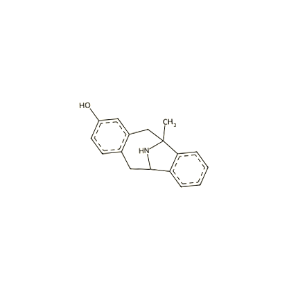 CC12Cc3cc(O)ccc3CC(N1)c1ccccc12